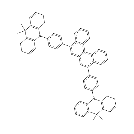 CC1(C)C2=C(CCC=C2)N(c2ccc(-c3cc4cc(-c5ccc(N6C7=C(C=CCC7)C(C)(C)c7ccccc76)cc5)c5ccccc5c4c4ccccc34)cc2)C2=C1CCC=C2